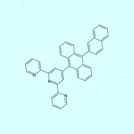 c1ccc(-c2cc(-c3c4ccccc4c(-c4ccc5ccccc5c4)c4ccccc34)cc(-c3ccccn3)n2)nc1